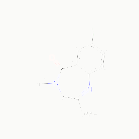 COC1=Nc2ccc(Cl)cc2C(=O)N(C(C)(C)C)C1